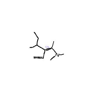 C=C/C(=C(/C)N(C)C)C(C)CC